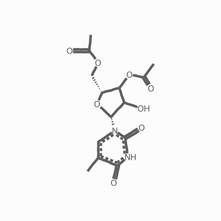 CC(=O)OC[C@H]1O[C@@H](n2cc(C)c(=O)[nH]c2=O)C(O)C1OC(C)=O